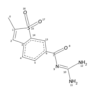 CC1=Cc2ccc(C(=O)N=C(N)N)cc2S1(=O)=O